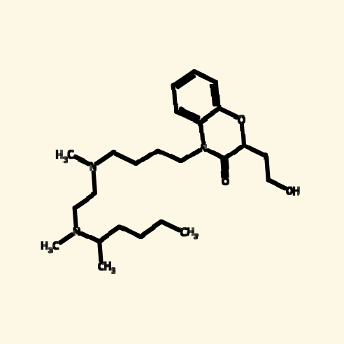 CCCCC(C)N(C)CCN(C)CCCCN1C(=O)C(CCO)Oc2ccccc21